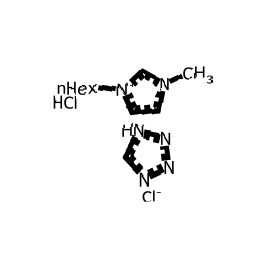 CCCCCC[n+]1ccn(C)c1.Cl.[Cl-].c1nnn[nH]1